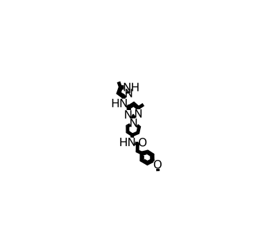 COc1ccc(CC(=O)NC2CCN(c3nc(C)cc(Nc4cc(C)[nH]n4)n3)CC2)cc1